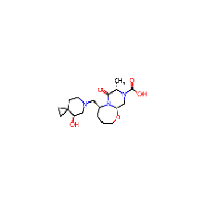 C[C@H]1C(=O)N2C(CN1C(=O)O)OCCC[C@H]2CN1CCC2(CC2)[C@H](O)C1